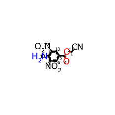 N#CCOC(=O)c1cc([N+](=O)[O-])c(N)c([N+](=O)[O-])c1